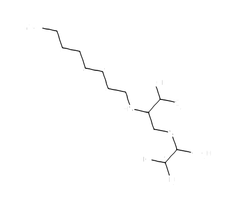 CCCCCCCCCCCCCCCCCNC(CNC(C(=O)O)C(O)CC)C(O)CC